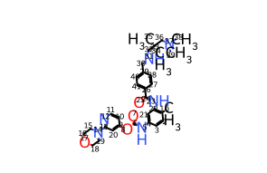 Cc1ccc(NC(=O)Oc2ccnc(N3CCOCC3)c2)cc1NC(=O)c1ccc(CNCC(C)(C)CN(C)C)cc1